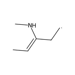 [CH2]CC(=CC)NC